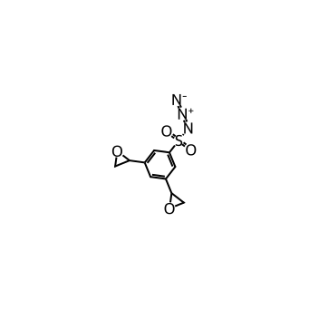 [N-]=[N+]=NS(=O)(=O)c1cc(C2CO2)cc(C2CO2)c1